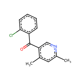 Cc1cc(C)c(C(=O)c2ccccc2Cl)cn1